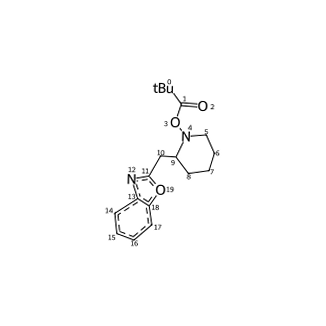 CC(C)(C)C(=O)ON1CCCCC1Cc1nc2ccccc2o1